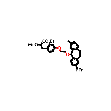 CCCc1ccc2c(c1)C=Cc1ccc(C)cc1C2OCCOc1ccc(CC(OC)C(=O)OCC)cc1